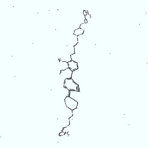 CCCCCC1CCC(c2ccc(-c3ccc(CCCCC4CCC(COC)CC4)c(F)c3F)cc2)CC1